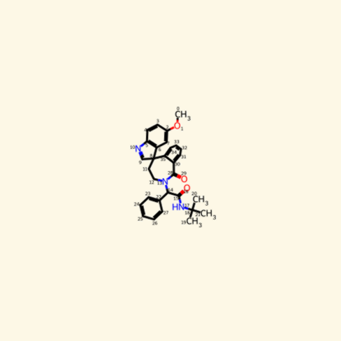 COc1ccc2c(c1)C1(C=N2)CCN(C(C(=O)NC(C)(C)C)c2ccccc2)C(=O)c2ccccc21